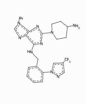 CC(C)n1cnc2c(NCc3ccccc3-n3cc(C(F)(F)F)cn3)nc(N3CCC(N)CC3)nc21